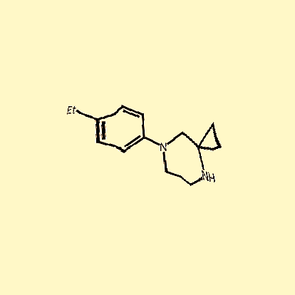 CCc1ccc(N2CCNC3(CC3)C2)cc1